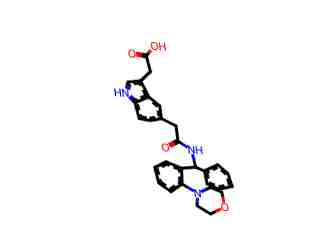 O=C(O)Cc1c[nH]c2ccc(CC(=O)NC(c3ccccc3)c3ccccc3N3CCOCC3)cc12